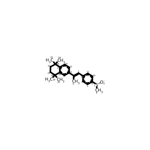 C/C(=C\c1ccc([S+](C)[O-])cc1)c1ccc2c(c1)C(C)(C)CCC2(C)C